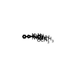 CCNc1nc2ncn(Cc3nc(C4C5C=C(c6ccccc6)CC54)no3)c(=O)c2n1C